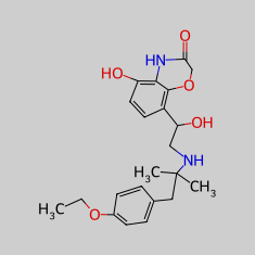 CCOc1ccc(CC(C)(C)NCC(O)c2ccc(O)c3c2OCC(=O)N3)cc1